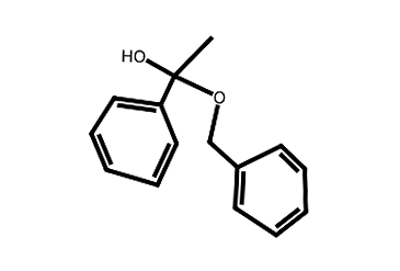 CC(O)(OCc1ccccc1)c1ccccc1